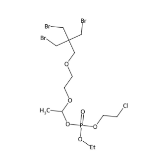 CCOP(=O)(OCCCl)OC(C)OCCOCC(CBr)(CBr)CBr